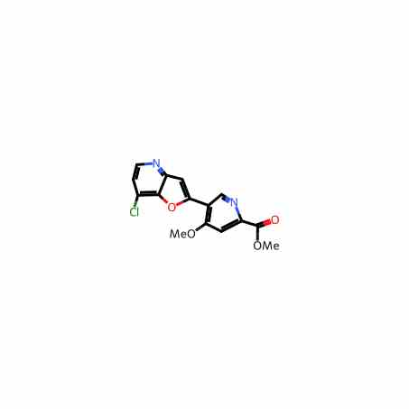 COC(=O)c1cc(OC)c(-c2cc3nccc(Cl)c3o2)cn1